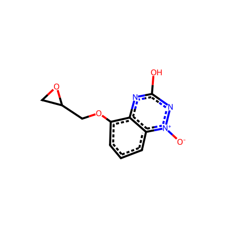 [O-][n+]1nc(O)nc2c(OCC3CO3)cccc21